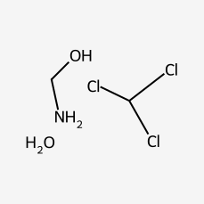 ClC(Cl)Cl.NCO.O